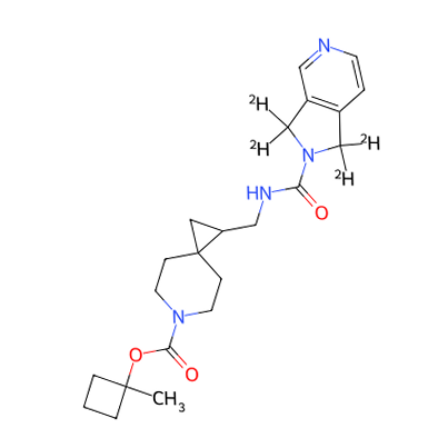 [2H]C1([2H])c2ccncc2C([2H])([2H])N1C(=O)NCC1CC12CCN(C(=O)OC1(C)CCC1)CC2